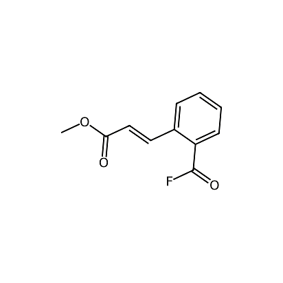 COC(=O)/C=C/c1ccccc1C(=O)F